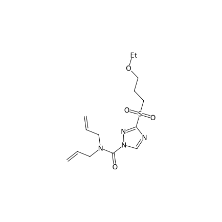 C=CCN(CC=C)C(=O)n1cnc(S(=O)(=O)CCCOCC)n1